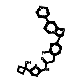 O=C(Cc1ccc(-c2cnc3cc(-c4ccncc4)ccn23)cc1F)Nc1ncc(C2(O)CCC2)s1